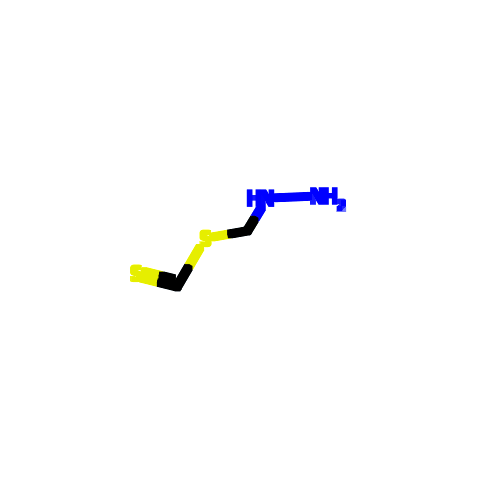 NNCSC=S